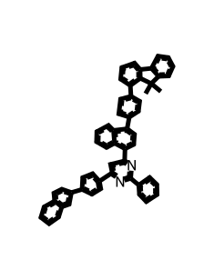 CC1(C)c2ccccc2-c2cccc(-c3ccc(-c4ccc(-c5cc(-c6ccc(-c7ccc8ccccc8c7)cc6)nc(-c6ccccc6)n5)c5ccccc45)cc3)c21